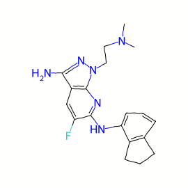 CN(C)CCn1nc(N)c2cc(F)c(Nc3cccc4c3CCC4)nc21